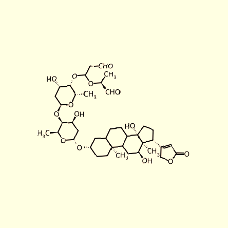 C[C@@H]1O[C@@H](O[C@@H]2[C@H](C)O[C@@H](O[C@H]3CC[C@@]4(C)C(CCC5C4C[C@H](O)[C@]4(C)[C@@H](C6=CC(=O)OC6)CC[C@]54O)C3)C[C@@H]2O)C[C@H](O)[C@@H]1OC(CC=O)O[C@@H](C)C=O